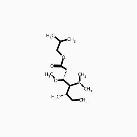 CC[C@H](C)C([C@@H](CC(=O)OCC(C)C)OC)N(C)C